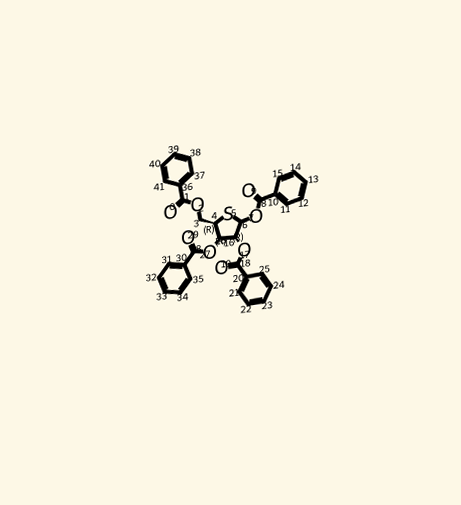 O=C(OC[C@H]1SC(OC(=O)c2ccccc2)[C@H](OC(=O)c2ccccc2)[C@H]1OC(=O)c1ccccc1)c1ccccc1